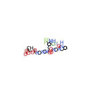 Cc1oc(=O)oc1COC(=O)CN1CCC(N2CCN(C(=O)C(Cc3cc(Cl)c(N)c(C(F)(F)F)c3)OC(=O)N3CCC(N4CCc5ccccc5NC4=O)CC3)CC2)CC1